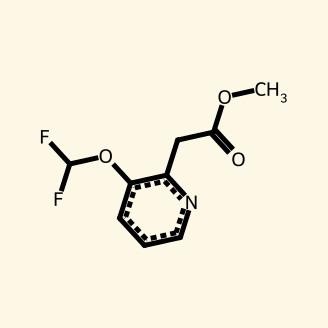 COC(=O)Cc1ncccc1OC(F)F